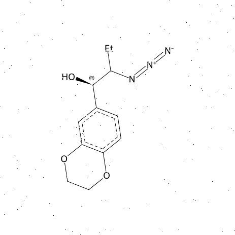 CCC(N=[N+]=[N-])[C@H](O)c1ccc2c(c1)OCCO2